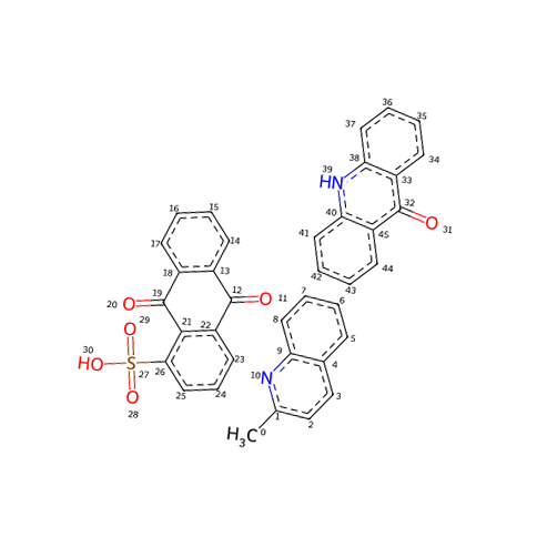 Cc1ccc2ccccc2n1.O=C1c2ccccc2C(=O)c2c1cccc2S(=O)(=O)O.O=c1c2ccccc2[nH]c2ccccc12